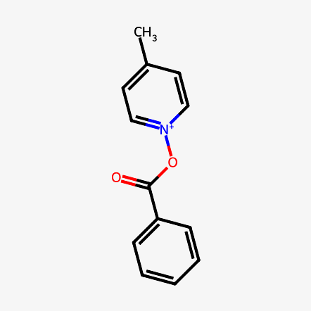 Cc1cc[n+](OC(=O)c2ccccc2)cc1